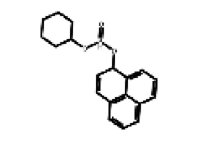 O=[PH](OC1CCCCC1)OC1C=Cc2cccc3cccc1c23